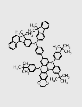 CC(C)(C)c1ccc(N2c3ccc(C(C)(C)C)cc3B3c4cc5c(cc4N(c4ccc(C(C)(C)C)cc4)c4cc(-c6ccc(N(c7ccc8c(c7)C(C)(C)c7ccccc7-8)c7ccc8c(c7)C(C)(C)c7ccc9ccccc9c7-8)cc6)cc2c43)OCCO5)cc1